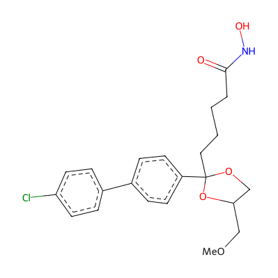 COCC1COC(CCCCC(=O)NO)(c2ccc(-c3ccc(Cl)cc3)cc2)O1